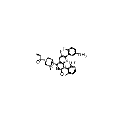 C=CC(=O)N1CCN(c2nc(=O)n(-c3c(C)ccnc3CCC)c3nc(-c4cc(N)ccc4F)c(F)cc23)[C@@H](C)C1